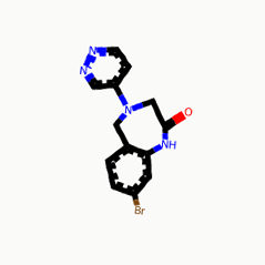 O=C1CN(c2ccnnc2)Cc2ccc(Br)cc2N1